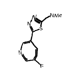 CNc1nnc(-c2cncc(F)c2)s1